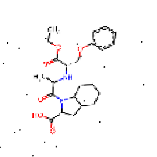 CCOC(=O)[C@H](COc1ccccc1)NC(C)C(=O)N1C2CCCCC2C[C@H]1C(=O)O